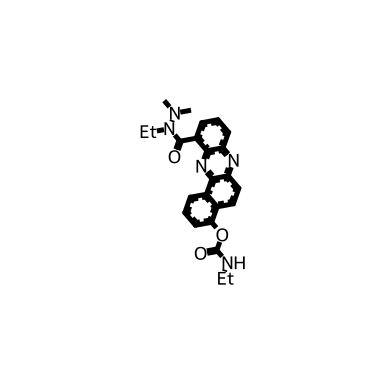 CCNC(=O)Oc1cccc2c1ccc1nc3cccc(C(=O)N(CC)N(C)C)c3nc12